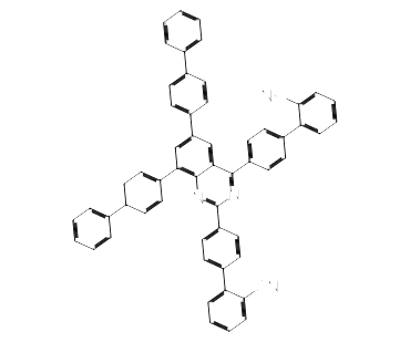 N#Cc1ccccc1-c1ccc(-c2nc(-c3ccc(-c4ccccc4C#N)cc3)c3cc(-c4ccc(-c5ccccc5)cc4)cc(C4=CCC(c5ccccc5)C=C4)c3n2)cc1